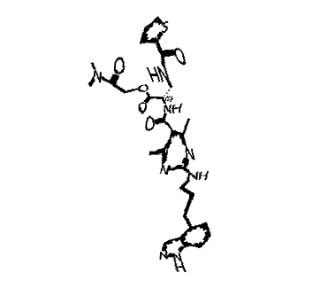 Cc1nc(NCCCc2cccc3[nH]ncc23)nc(C)c1C(=O)N[C@@H](CNC(=O)c1cccs1)C(=O)OCC(=O)N(C)C